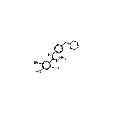 CC(C)c1cc(/C(=N/N)Nc2ccc(CN3CCOCC3)cc2)c(O)cc1O